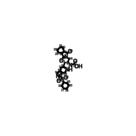 O=C(O)N[C@@H](Cc1cc2cnn(S(=O)(=O)c3ccccc3)c2cn1)CN1C(=O)c2ccccc2C1=O